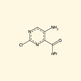 CCCC(=O)c1nc(Cl)ncc1N